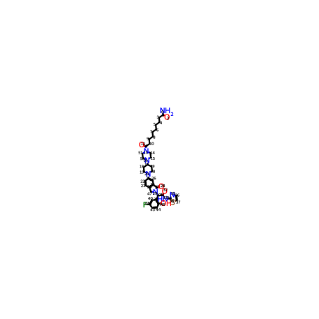 NC(=O)CCCCCCCCC(=O)N1CCN(C2CCN(c3ccc4c(c3)C(=O)N(C(C(=O)Nc3nccs3)c3cc(F)ccc3O)C4)CC2)CC1